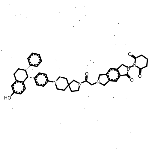 O=C(CN1Cc2cc3c(cc2C1)C(=O)N(N1C(=O)CCCC1=O)C3)N1CCC2(CCN(c3ccc([C@@H]4c5ccc(O)cc5CC[C@@H]4c4ccccc4)cc3)CC2)C1